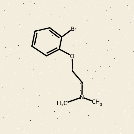 CN(C)CCOc1ccccc1Br